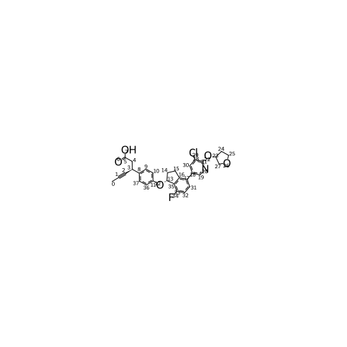 CC#C[C@@H](CC(=O)O)c1ccc(O[C@@H]2CCc3c(-c4cnc(O[C@@H]5CCOC5)c(Cl)c4)ccc(F)c32)cc1